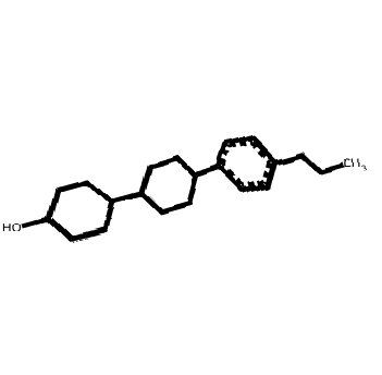 CCCc1ccc(C2CCC(C3CCC(O)CC3)CC2)cc1